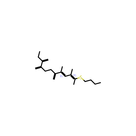 C=C(CC)C(=C)CCC(=C)/C(C)=C/C(C)=C(\C)SCCCC